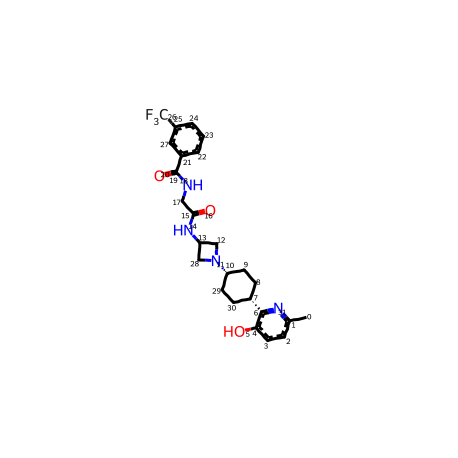 Cc1ccc(O)c([C@H]2CC[C@@H](N3CC(NC(=O)CNC(=O)c4cccc(C(F)(F)F)c4)C3)CC2)n1